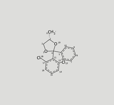 [CH2][C@H]1COC(c2ccccc2)(c2c(Cl)cccc2Cl)O1